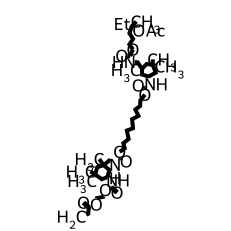 C=CC(=O)OCCOC(=O)NC1CC(C)(C)CC(C)(CNC(=O)OCCCCCCCCCCOC(=O)NC2CC(C)(C)CC(C)(CNC(=O)OCCCC(C)(CC)OC(C)=O)C2)C1